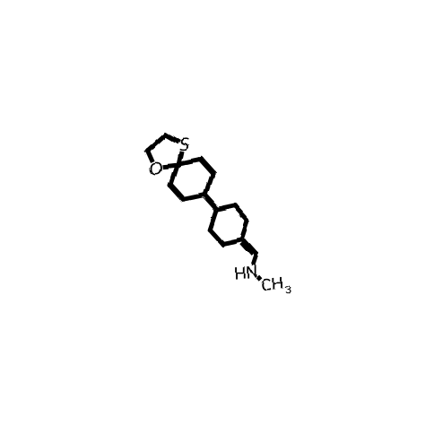 CNC=C1CCC(C2CCC3(CC2)OCCS3)CC1